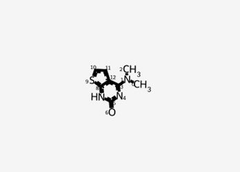 CN(C)c1nc(=O)[nH]c2sccc12